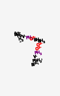 B.B.P.P.[Bi+3].[Bi+3].[O-2].[O-2].[O-2].[PbH2].[PbH2].[V].[V]